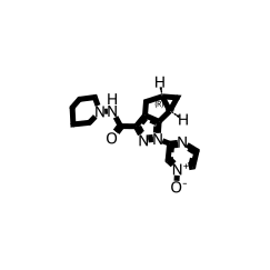 O=C(NN1CCCCC1)c1nn(-c2c[n+]([O-])ccn2)c2c1C[C@H]1C[C@@H]21